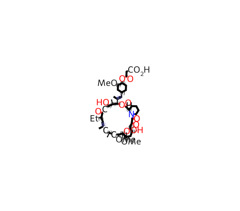 CC[C@@H]1/C=C(\C)C[C@H](C)C[C@H](OC)[C@H]2O[C@@](O)(C(=O)C(=O)N3CCCC[C@H]3C(=O)O[C@H](/C(C)=C/[C@@H]3CC[C@@H](OC(=O)CC(=O)O)[C@H](OC)C3)[C@H](C)[C@@H](O)CC1=O)[C@H](C)C[C@@H]2OC